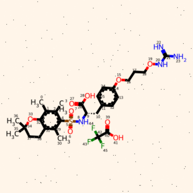 Cc1c(C)c(S(=O)(=O)N[C@@H](Cc2ccc(OCCCONC(=N)N)cc2)C(=O)O)c(C)c2c1OC(C)(C)CC2.O=C(O)C(F)(F)F